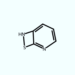 c1cnc2s[nH]c2c1